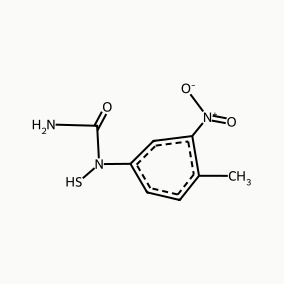 Cc1ccc(N(S)C(N)=O)cc1[N+](=O)[O-]